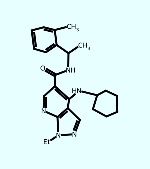 CCn1ncc2c(NC3CCCCC3)c(C(=O)NC(C)c3ccccc3C)cnc21